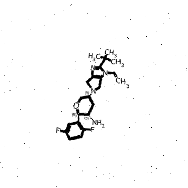 CCn1c(C(C)(C)C)nc2c1CN([C@H]1CO[C@H](c3cc(F)ccc3F)[C@@H](N)C1)C2